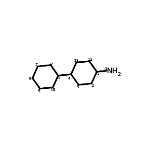 NC1CCC(C2CCCCC2)CC1